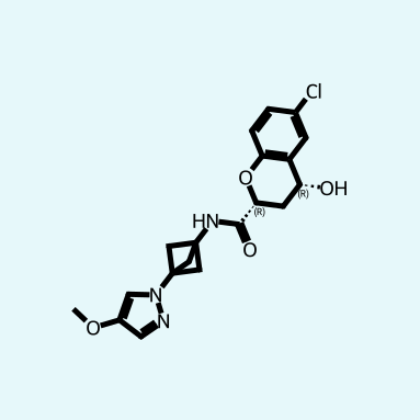 COc1cnn(C23CC(NC(=O)[C@H]4C[C@@H](O)c5cc(Cl)ccc5O4)(C2)C3)c1